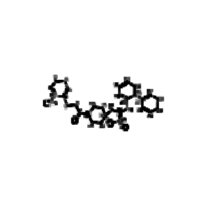 O=C(C=Cc1ccccc1Cl)N1CCC2(CC1)CN(Cc1ccccc1-c1ccccc1)C(=O)O2